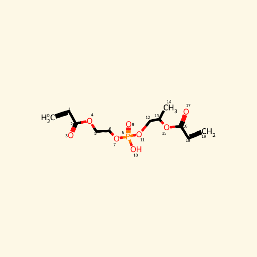 C=CC(=O)OCCOP(=O)(O)OCC(C)OC(=O)C=C